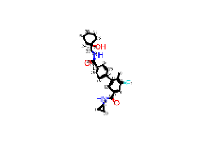 Cc1c(F)cc(C(=O)NC2CC2)cc1-c1ccc(C(=O)NCC2(O)CCCCC2)cc1